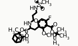 COc1c(CC(NC(=O)CCNS(C)(=O)=O)B2OC3CC4CC(C4(C)C)C3(C)O2)ccc(F)c1C(=O)OC(C)(C)C